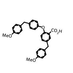 COc1ccc(Cc2ccc(Oc3ccc(Cc4ccc(OC)cc4)cc3C(=O)O)cc2)cc1